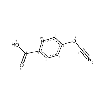 N#COc1ccc(C(=O)O)nc1